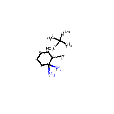 CCCCCCC(C)(C)C(=O)O.NC1(N)CCCC[C@H]1[Pt]